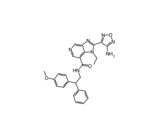 CCn1c(-c2nonc2N)nc2cncc(C(=O)NCC(c3ccccc3)c3ccc(OC)cc3)c21